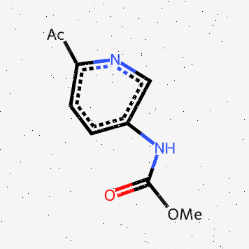 COC(=O)Nc1ccc(C(C)=O)nc1